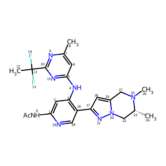 CC(=O)Nc1cc(Nc2cc(C)nc(C(C)(F)F)n2)c(-c2cc3n(n2)C[C@@H](C)N(C)C3)cn1